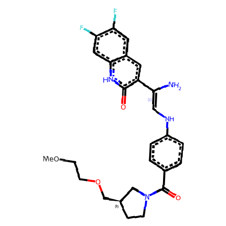 COCCOC[C@@H]1CCN(C(=O)c2ccc(N/C=C(\N)c3cc4cc(F)c(F)cc4[nH]c3=O)cc2)C1